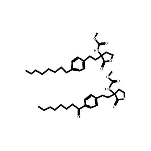 CCCCCCCC(=O)c1ccc(CCC2(NC(=O)OC)CCOC2=O)cc1.CCCCCCCCc1ccc(CCC2(NC(=O)OC)CCOC2=O)cc1